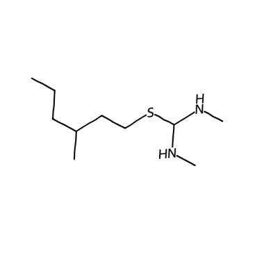 CCCC(C)CCSC(NC)NC